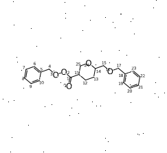 O=C(OOCc1ccccc1)C1CCC(COCc2ccccc2)OC1